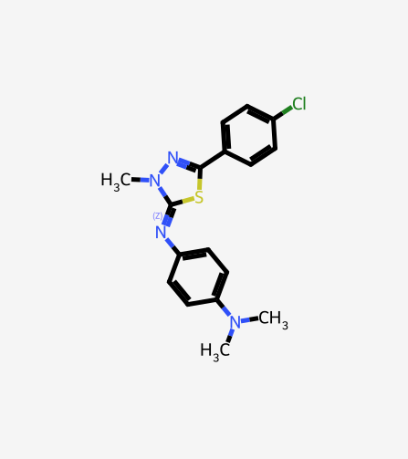 CN(C)c1ccc(/N=c2\sc(-c3ccc(Cl)cc3)nn2C)cc1